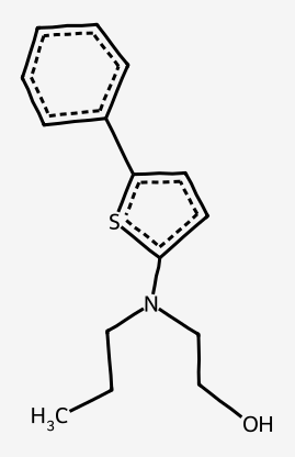 CCCN(CCO)c1ccc(-c2ccccc2)s1